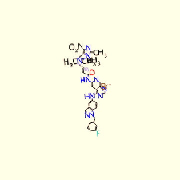 Cc1nc([N+](=O)[O-])c(C[N+](C)(C)C/C=C/C(=O)Nc2cc3c(Nc4ccc5c(cnn5Cc5cccc(F)c5)c4)ncnc3cn2)n1C.[Br-]